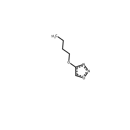 CCCCOc1conn1